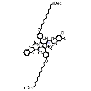 [C-]#[N+]/C(c1cnc2cc(Cl)c(Cl)cc2n1)=c1\c2c(-c3ccc(OCCCCCCCCCCCCCCCCCCCC)cc3)n(B(C)C)/c(=C(/C#N)c3cnc4ccccc4n3)c2c(-c2ccc(OCCCCCCCCCCCCCCCCCCCC)cc2)n1B(C)C